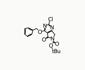 CC(C)(C)OC(=O)N1Cc2nc(Cl)nc(OCc3ccccc3)c2C1=O